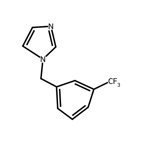 FC(F)(F)c1cccc(Cn2ccnc2)c1